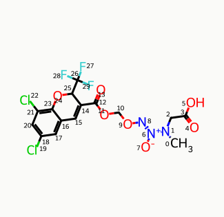 CN(CC(=O)O)[N+]([O-])=NOCOC(=O)C1=Cc2cc(Cl)cc(Cl)c2OC1C(F)(F)F